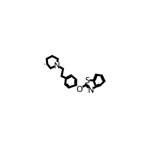 [CH]1CCCN(CCc2ccc(Oc3nc4ccccc4s3)cc2)C1